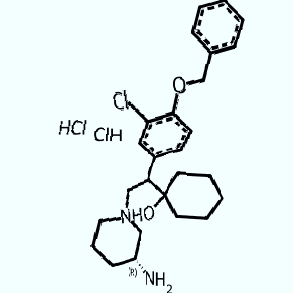 Cl.Cl.N[C@@H]1CCCN(CC(c2ccc(OCc3ccccc3)c(Cl)c2)C2(O)CCCCC2)C1